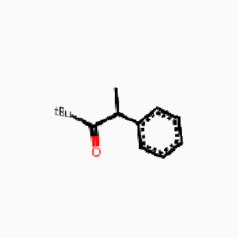 CC(C(=O)C(C)(C)C)c1ccccc1